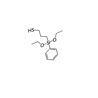 CCO[Si](CCCS)(OCC)c1ccccc1